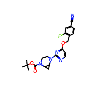 CC(C)(C)OC(=O)N1CCN(c2nccc(OCc3ccc(C#N)cc3F)n2)C2CC21